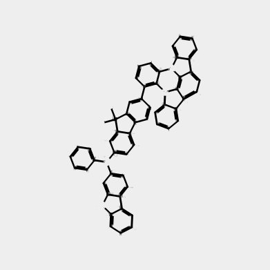 CC1(C)c2cc(-c3cccc4c3n3c5ccccc5c5ccc6c7ccccc7n4c6c53)ccc2-c2ccc(N(c3ccccc3)c3ccc4c(c3)sc3ccccc34)cc21